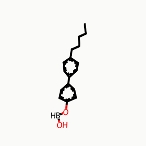 CCCCCc1ccc(-c2ccc(OBO)cc2)cc1